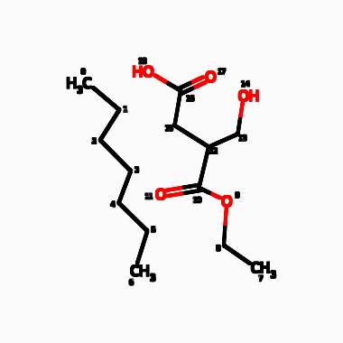 CCCCCCC.CCOC(=O)C(CO)CC(=O)O